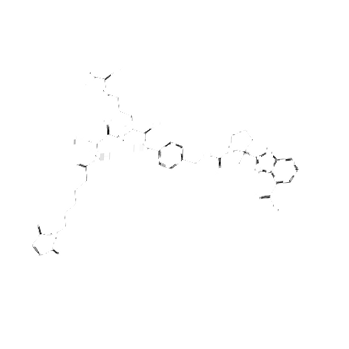 CC(C)[C@H](NC(=O)CCCCCN1C(=O)C=CC1=O)C(=O)N[C@@H](CCCNC(N)=O)C(=O)Nc1ccc(COC(=O)N2CCC[C@]2(C)c2nc3c(C(N)=O)cccc3[nH]2)cc1